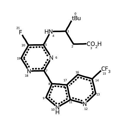 CC(C)(C)C(CC(=O)O)Nc1nc(-c2c[nH]c3ncc(C(F)(F)F)cc23)ncc1F